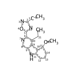 CCc1noc(-c2ncc3[nH]c4cccc(OC)c4c3c2CC)n1